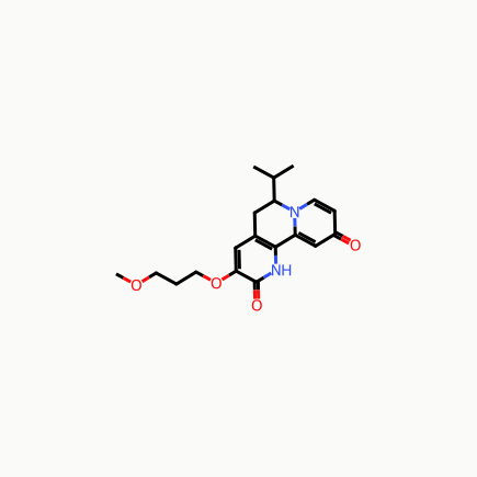 COCCCOc1cc2c([nH]c1=O)-c1cc(=O)ccn1C(C(C)C)C2